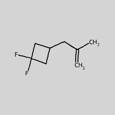 C=C(C)CC1CC(F)(F)C1